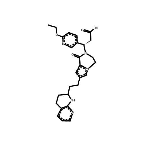 CCOc1ccc([C@H](CC(=O)O)N2CCn3cc(CCC4CCc5cccnc5N4)cc3C2=O)cn1